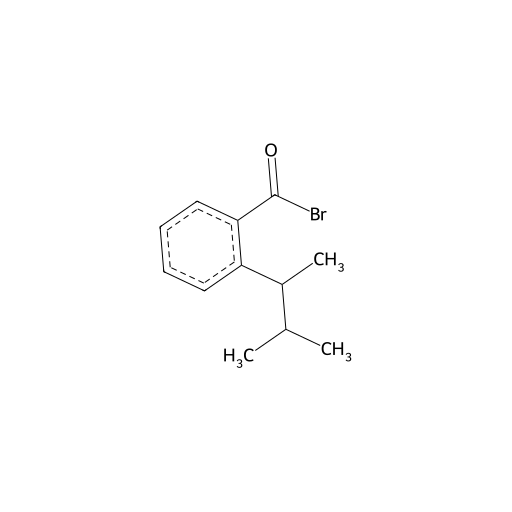 CC(C)C(C)c1ccccc1C(=O)Br